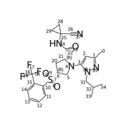 Cc1cc(N2C[C@H](S(=O)(=O)c3ccccc3C(F)(F)F)C[C@@H]2C(=O)NC2(C#N)CC2)n(CC(C)C)n1